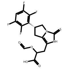 O=COC(Cc1[nH]c(=S)n2c1C[C@H](c1c(F)c(F)cc(F)c1F)C2)C(=O)O